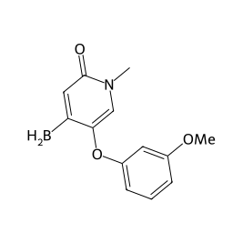 Bc1cc(=O)n(C)cc1Oc1cccc(OC)c1